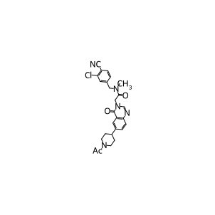 CC(=O)N1CCC(c2ccc3ncn(CC(=O)N(C)Cc4ccc(C#N)c(Cl)c4)c(=O)c3c2)CC1